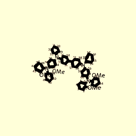 COc1ccccc1N(c1ccc(N(c2ccccc2)c2ccc(-c3ccc(N(c4ccccc4)c4ccc(N(c5ccccc5OC)c5ccccc5OC)cc4)cc3)cc2)cc1)c1ccccc1OC